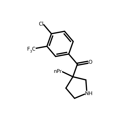 CCCC1(C(=O)c2ccc(Cl)c(C(F)(F)F)c2)CCNC1